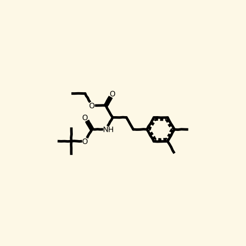 CCOC(=O)C(CCc1ccc(C)c(C)c1)NC(=O)OC(C)(C)C